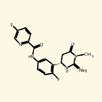 CN1C(=N)N[C@H](c2cc(NC(=O)c3ccc(F)cn3)ccc2F)CC1=O